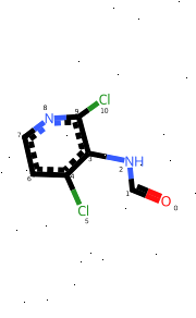 O=CNc1c(Cl)ccnc1Cl